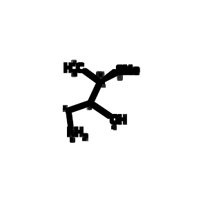 CS[C@H](C)C(O)CN